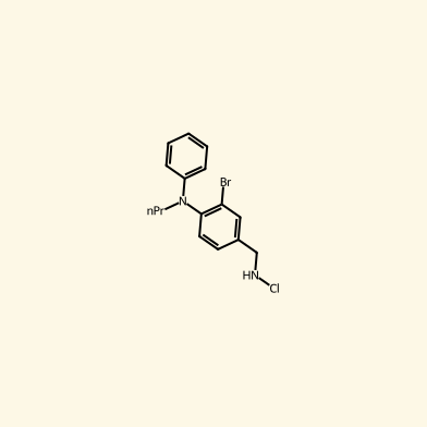 CCCN(c1ccccc1)c1ccc(CNCl)cc1Br